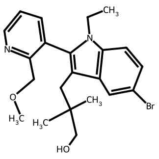 CCn1c(-c2cccnc2COC)c(CC(C)(C)CO)c2cc(Br)ccc21